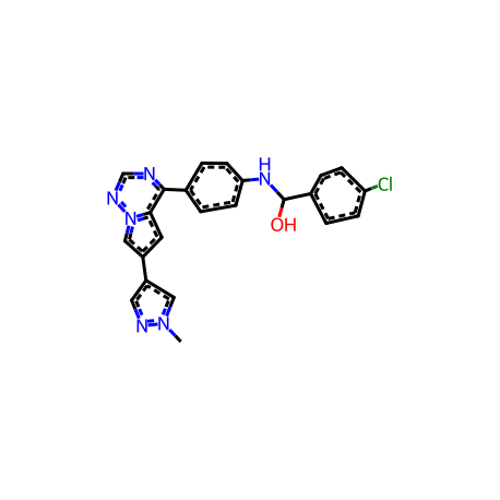 Cn1cc(-c2cc3c(-c4ccc(NC(O)c5ccc(Cl)cc5)cc4)ncnn3c2)cn1